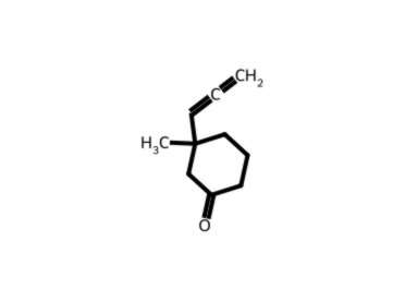 C=C=CC1(C)CCCC(=O)C1